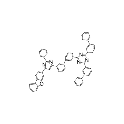 c1ccc(-c2cccc(-c3nc(-c4cccc(-c5ccccc5)c4)nc(-c4cccc(-c5cccc(-c6cc(-c7ccc8c(c7)oc7ccccc78)nc(-c7ccccc7)n6)c5)c4)n3)c2)cc1